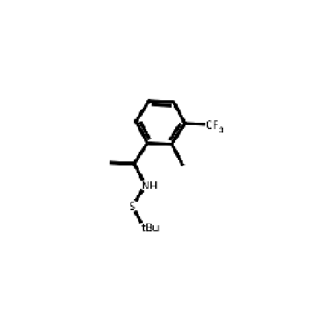 Cc1c(C(C)NSC(C)(C)C)cccc1C(F)(F)F